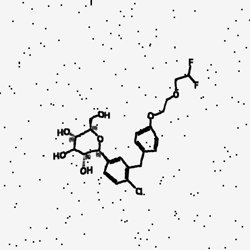 OC[C@H]1O[C@@H](c2ccc(Cl)c(Cc3ccc(OCCOCC(F)F)cc3)c2)[C@H](O)C(O)[C@@H]1O